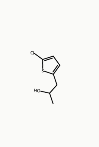 CC(O)Cc1ccc(Cl)s1